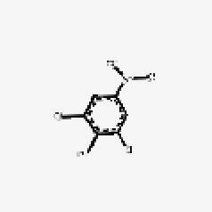 CC[S+]([O-])c1cc(Cl)c(C(C)C)c(Cl)c1